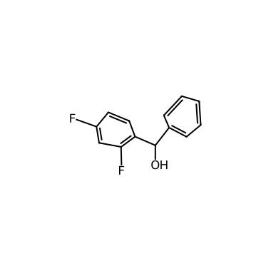 OC(c1ccccc1)c1ccc(F)cc1F